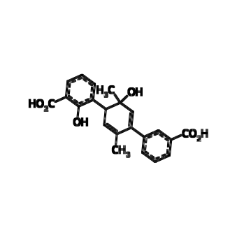 CC1=CC(c2cccc(C(=O)O)c2O)C(C)(O)C=C1c1cccc(C(=O)O)c1